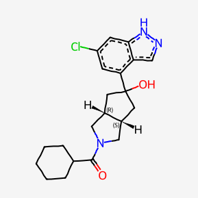 O=C(C1CCCCC1)N1C[C@@H]2CC(O)(c3cc(Cl)cc4[nH]ncc34)C[C@@H]2C1